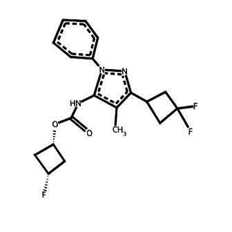 Cc1c(C2CC(F)(F)C2)nn(-c2ccccc2)c1NC(=O)O[C@H]1C[C@@H](F)C1